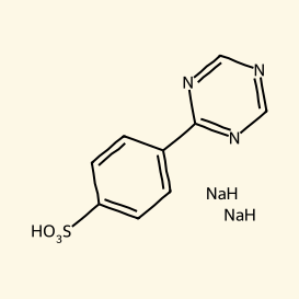 O=S(=O)(O)c1ccc(-c2ncncn2)cc1.[NaH].[NaH]